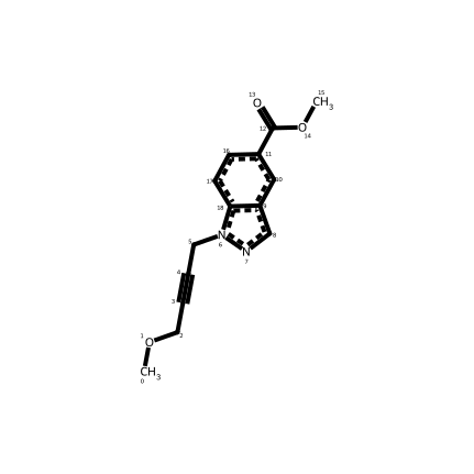 COCC#CCn1ncc2cc(C(=O)OC)ccc21